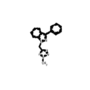 Cn1nnc(Cn2nc(-c3ccccc3)c3ccccc32)n1